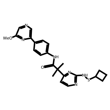 COc1cncc(-c2ccc(NC(=O)C(C)(C)c3ccnc(NSC4CCC4)n3)cc2)n1